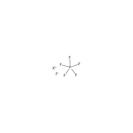 FP(F)(F)(F)F.[F-].[K+]